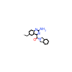 [CH2]Cc1ccc2nc(N)nc(C(=O)N3Cc4ccccc4C3)c2c1